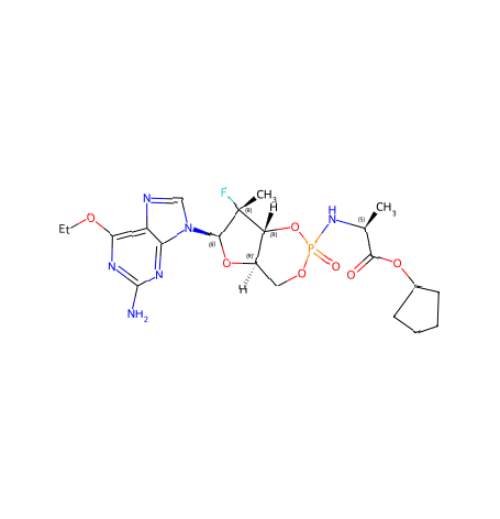 CCOc1nc(N)nc2c1ncn2[C@@H]1O[C@@H]2COP(=O)(N[C@@H](C)C(=O)OC3CCCC3)O[C@H]2[C@@]1(C)F